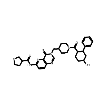 O=C(Nc1ccc2ncn(CC3CCN(C(=O)C4CCC(O)CC4c4ccccc4)CC3)c(=O)c2n1)C1CCOC1